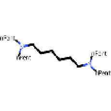 CCCCCN(CCCCC)CCCCCCN(CCCCC)CCCCC